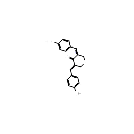 Cc1ccc(/C=C2\CSC/C(=C/c3ccc(C)cc3)C2=O)cc1